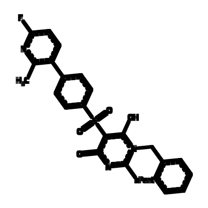 CCCCCc1nc(=O)c(S(=O)(=O)c2ccc(-c3ccc(F)nc3C)cc2)c(O)n1Cc1ccccc1